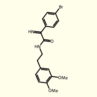 COc1ccc(CCNC(=O)C(=N)c2ccc(Br)cc2)cc1OC